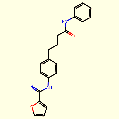 N=C(Nc1ccc(CCCC(=O)Nc2ccccc2)cc1)c1ccco1